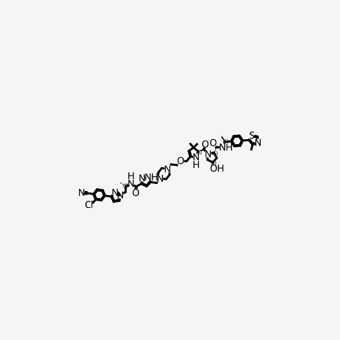 Cc1ncsc1-c1ccc([C@H](C)NC(=O)[C@@H]2C[C@@H](O)CN2C(=O)[C@H]2NC(COCCN3CCN(Cc4cc(C(=O)N[C@@H](C)Cn5ccc(-c6ccc(C#N)c(Cl)c6)n5)n[nH]4)CC3)=CC2(C)C)cc1